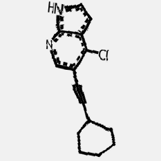 Clc1c(C#CC2CCCCC2)cnc2[nH]ccc12